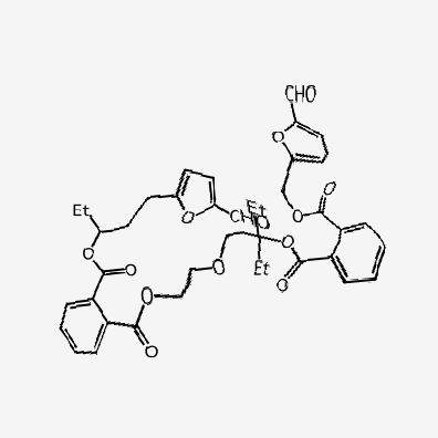 CCC(CCc1ccc(C=O)o1)OC(=O)c1ccccc1C(=O)OCCOCC(CC)(CC)OC(=O)c1ccccc1C(=O)OCc1ccc(C=O)o1